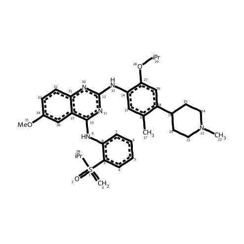 C=S(=O)(c1ccccc1Nc1nc(Nc2cc(C)c(C3CCN(C)CC3)cc2OC(C)C)nc2ccc(OC)cc12)C(C)C